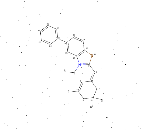 CC[n+]1c(C=C2C=C(C)CC(C)(C)C2)sc2ccc(-c3ccccc3)cc21